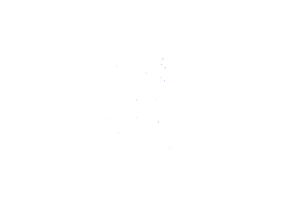 Cc1ccc2c(c1C)=c1c(C)cccc1=2.N=C=O.N=C=O